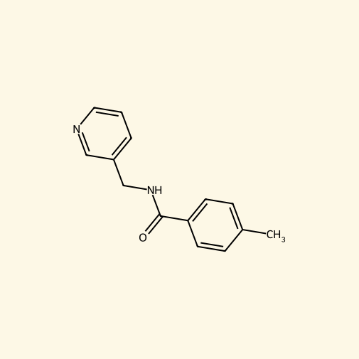 Cc1ccc(C(=O)NCc2cccnc2)cc1